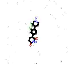 O=C1CCC(c2ccc(C3CCNCC3(F)F)c(F)c2)C(=O)N1